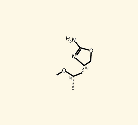 CO[C@@H](C)C[C@H]1COC(N)=N1